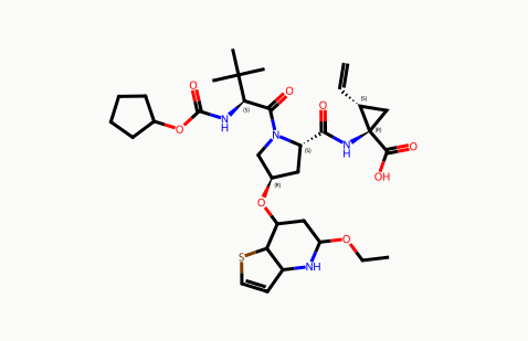 C=C[C@@H]1C[C@]1(NC(=O)[C@@H]1C[C@@H](OC2CC(OCC)NC3C=CSC32)CN1C(=O)[C@@H](NC(=O)OC1CCCC1)C(C)(C)C)C(=O)O